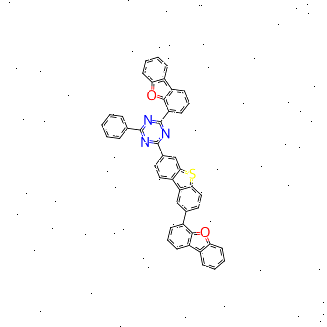 c1ccc(-c2nc(-c3ccc4c(c3)sc3ccc(-c5cccc6c5oc5ccccc56)cc34)nc(-c3cccc4c3oc3ccccc34)n2)cc1